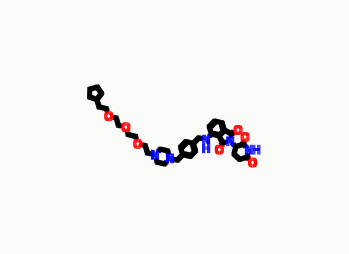 O=C1CCC(N2C(=O)c3cccc(NCc4ccc(CN5CCN(CCOCCOCCOCCC6CCCC6)CC5)cc4)c3C2=O)C(=O)N1